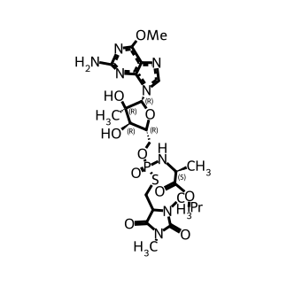 COc1nc(N)nc2c1ncn2[C@@H]1O[C@H](COP(=O)(N[C@@H](C)C(=O)OC(C)C)SCC2C(=O)N(C)C(=O)N2C)[C@@H](O)[C@@]1(C)O